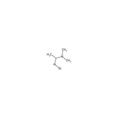 CC[N]C(C)N(C)C